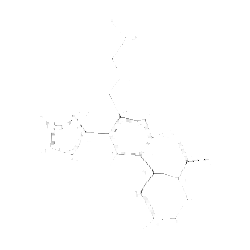 C=C(C)C1CCC(C)=CC1c1c(O)cc(CCCCC)c(-c2ccn[nH]2)c1O